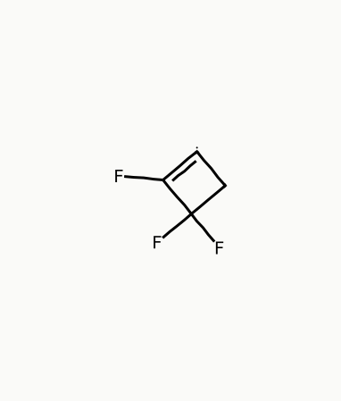 FC1=[C]CC1(F)F